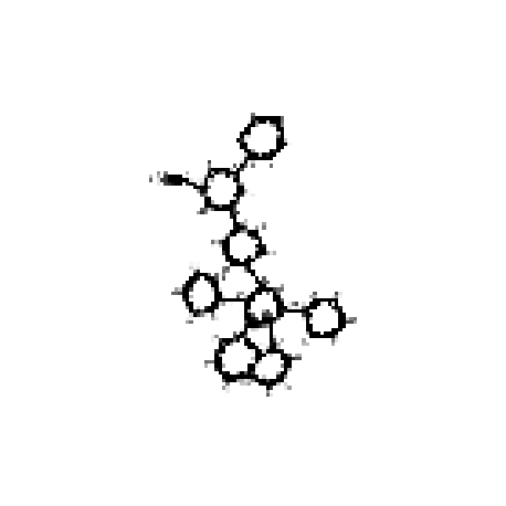 N#Cc1cc(-c2ccccc2)cc(-c2ccc(-c3cc(-c4ccccc4)c4c(c3-c3ccccc3)-c3cccc5cccc-4c35)cc2)c1